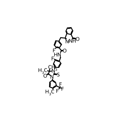 Cc1ccc(N2C(=O)C(C)(C)N(c3ccc(CNC(=O)c4cc(Cc5n[nH]c(=O)c6ccccc56)ccc4F)c(F)c3)C2=S)cc1C(F)(F)F